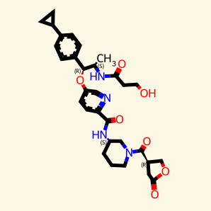 C[C@H](NC(=O)CCO)[C@H](Oc1ccc(C(=O)N[C@H]2CCCN(C(=O)[C@H]3COC(=O)C3)C2)nc1)c1ccc(C2CC2)cc1